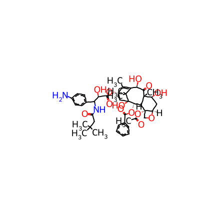 CC(=O)O[C@@]12CO[C@@H]1C[C@H](O)[C@@]1(C)C(=O)[C@H](O)C3=C(C)[C@@H](OC(=O)[C@H](O)C(NC(=O)CC(C)(C)C)c4ccc(N)cc4)C[C@@](O)([C@@H](OC(=O)c4ccccc4)[C@H]21)C3(C)C